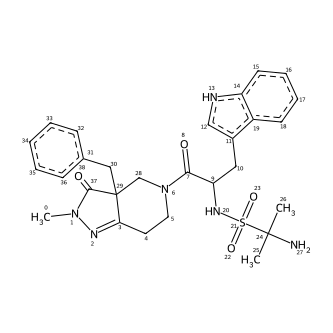 CN1N=C2CCN(C(=O)C(Cc3c[nH]c4ccccc34)NS(=O)(=O)C(C)(C)N)CC2(Cc2ccccc2)C1=O